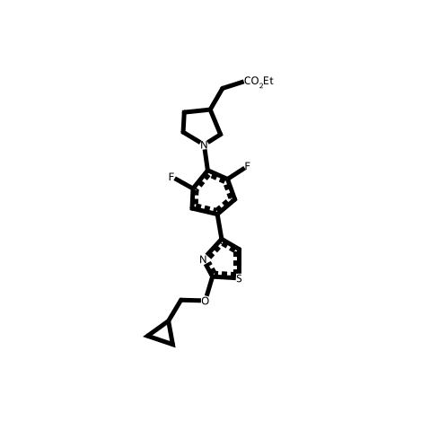 CCOC(=O)CC1CCN(c2c(F)cc(-c3csc(OCC4CC4)n3)cc2F)C1